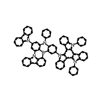 c1ccc(N2c3ccc(-n4c5ccccc5c5c6c(c7ccccc7n6-c6ccccc6)c6c(c7ccccc7n6-c6ccccc6)c54)cc3B3c4c2cc(-n2c5ccccc5c5ccccc52)cc4-n2c4ccccc4c4cccc3c42)cc1